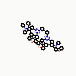 c1ccc(-c2nc(-c3cccc(-c4cccc(-c5nc(-c6ccccc6)nc(-c6cccc7c6-c6cc(-c8cc9sc%10ccccc%10c9c9c8c8ccccc8n9-c8ccccc8)ccc6C76c7ccccc7Oc7ccccc76)n5)c4)c3)nc(-c3cccc4c3-c3cc(-c5ccc6c(c5)c5ccc7sc8ccccc8c7c5n6-c5ccccc5)ccc3C43c4ccccc4Oc4ccccc43)n2)cc1